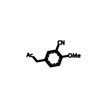 COc1ccc(CC(C)=O)cc1C#N